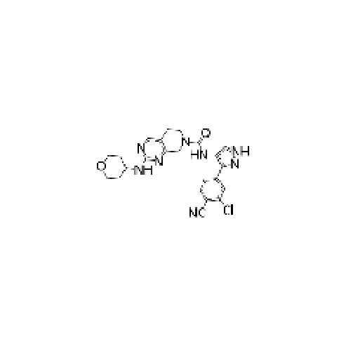 N#Cc1ccc(-c2n[nH]cc2NC(=O)N2CCc3cnc(NC4CCOCC4)nc3C2)cc1Cl